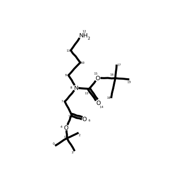 CC(C)(C)OC(=O)CN(CCCN)C(=O)OC(C)(C)C